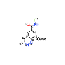 COc1cc(C(=O)NF)cc2cc(C)nnc12